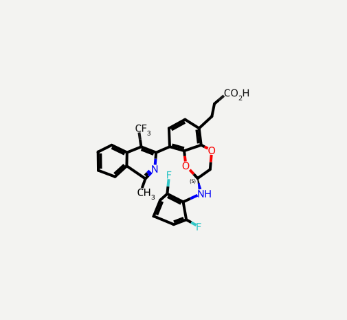 Cc1nc(-c2ccc(CCC(=O)O)c3c2O[C@H](Nc2c(F)cccc2F)CO3)c(C(F)(F)F)c2ccccc12